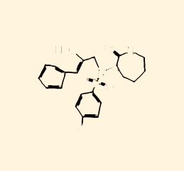 CC(=Cc1ccccc1)CN([C@@H]1CCCCNC1=O)S(=O)(=O)c1ccc(Cl)cc1